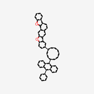 c1cccc(-c2c3ccccc3c(-c3ccccc3)c3ccccc23)ccc(-c2ccc3oc4cc5c(ccc6c7ccccc7oc56)cc4c3c2)cc1